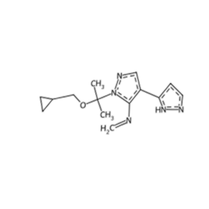 C=Nc1c(-c2ccn[nH]2)cnn1C(C)(C)OCC1CC1